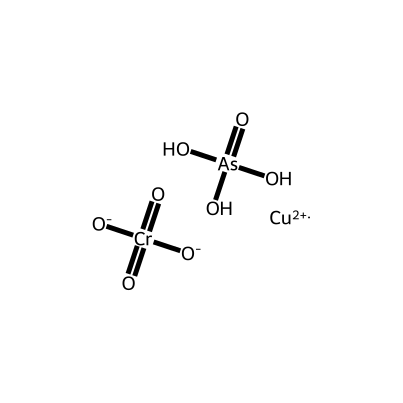 O=[As](O)(O)O.[Cu+2].[O]=[Cr](=[O])([O-])[O-]